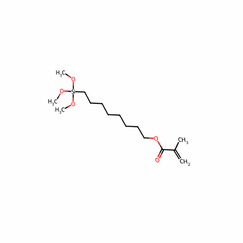 C=C(C)C(=O)OCCCCCCCC[Si](OC)(OC)OC